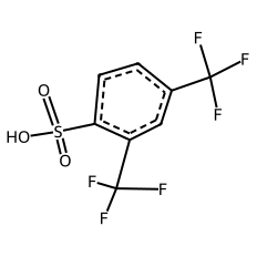 O=S(=O)(O)c1ccc(C(F)(F)F)cc1C(F)(F)F